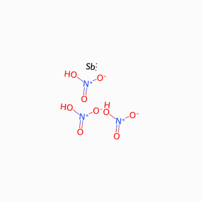 O=[N+]([O-])O.O=[N+]([O-])O.O=[N+]([O-])O.[Sb]